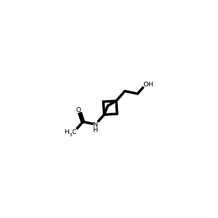 CC(=O)NC12CC(CCO)(C1)C2